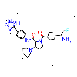 N[C@H](CF)[C@H]1CC[C@H](C(=O)N2CC[C@@H](N3CCCCC3)[C@H]2C(=O)Nc2ccc(-c3nnn[nH]3)cc2)CC1